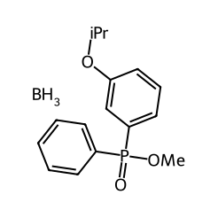 B.COP(=O)(c1ccccc1)c1cccc(OC(C)C)c1